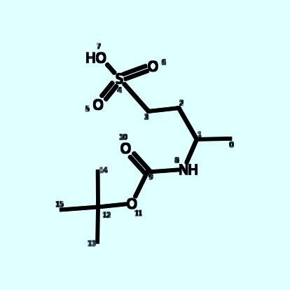 CC(CCS(=O)(=O)O)NC(=O)OC(C)(C)C